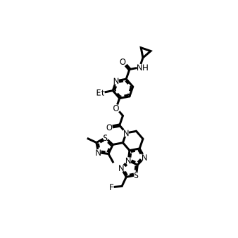 CCc1nc(C(=O)NC2CC2)ccc1OCC(=O)N1CCc2nc3sc(CF)nn3c2C1c1sc(C)nc1C